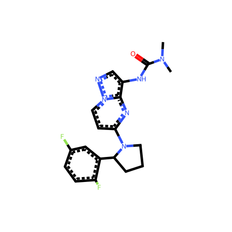 CN(C)C(=O)Nc1cnn2ccc(N3CCCC3c3cc(F)ccc3F)nc12